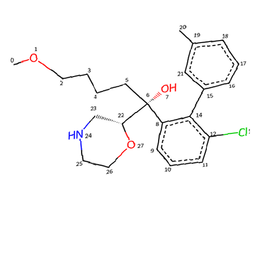 COCCCC[C@@](O)(c1cccc(Cl)c1-c1cccc(C)c1)[C@H]1CNCCO1